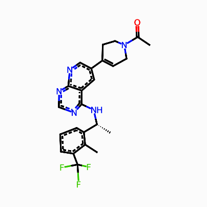 CC(=O)N1CC=C(c2cnc3ncnc(N[C@H](C)c4cccc(C(F)(F)F)c4C)c3c2)CC1